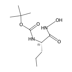 CCC[C@H](NC(=O)OC(C)(C)C)C(=O)NO